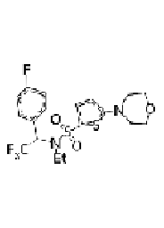 CCN([C@@H](c1ccc(F)cc1)C(F)(F)F)S(=O)(=O)c1ccc(N2CCOCC2)s1